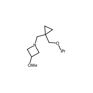 COC1CN(CC2(COC(C)C)CC2)C1